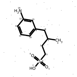 CC(CCS(=O)(=O)O)Cc1cccc(N)c1